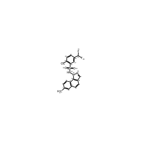 Cc1ccc2c(ccc3cnn(NS(=O)(=O)c4cc(C(F)F)ccc4Cl)c32)c1